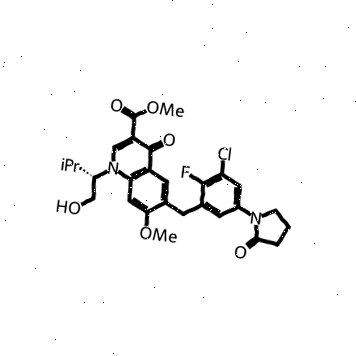 COC(=O)c1cn([C@H](CO)C(C)C)c2cc(OC)c(Cc3cc(N4CCCC4=O)cc(Cl)c3F)cc2c1=O